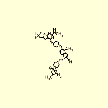 CNc1nc(NC2CCN(Cc3ccc4c(cc(C#N)n4CCN4CCN(S(=O)(=O)CC(C)C)CC4)c3C)CC2)c2cc(CC(F)(F)F)sc2n1